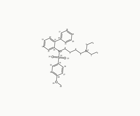 CCN(CC)CCCCN(c1ccccc1-c1ccccc1)S(=O)(=O)c1ccc(OC)cc1